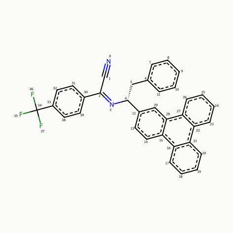 N#C/C(=N\[C@H](Cc1ccccc1)c1ccc2c3ccccc3c3ccccc3c2c1)c1ccc(C(F)(F)F)cc1